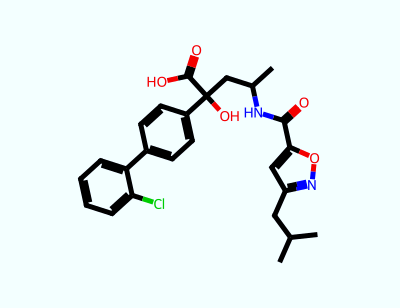 CC(C)Cc1cc(C(=O)NC(C)CC(O)(C(=O)O)c2ccc(-c3ccccc3Cl)cc2)on1